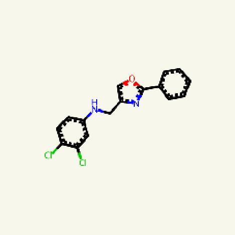 Clc1ccc(NCc2coc(-c3ccccc3)n2)cc1Cl